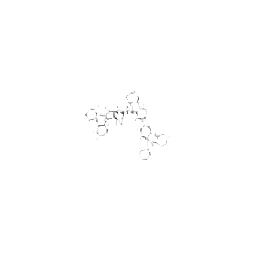 c1ccc(-n2c3ccccc3c3cc(-c4ccc5c6ccccc6n(-c6cnc7c(n6)sc6c8ccccc8c8ccccc8c76)c5c4)ccc32)cc1